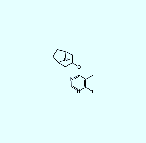 Cc1c(I)ncnc1OC1CC2CCC(C1)N2